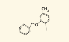 Cc1ccc(I)c(OCc2ccccc2)c1